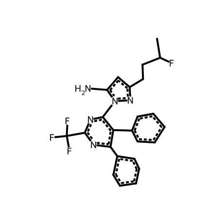 CC(F)CCc1cc(N)n(-c2nc(C(F)(F)F)nc(-c3ccccc3)c2-c2ccccc2)n1